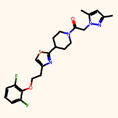 Cc1cc(C)n(CC(=O)N2CCC(c3nc(CCOc4c(F)cccc4F)cs3)CC2)n1